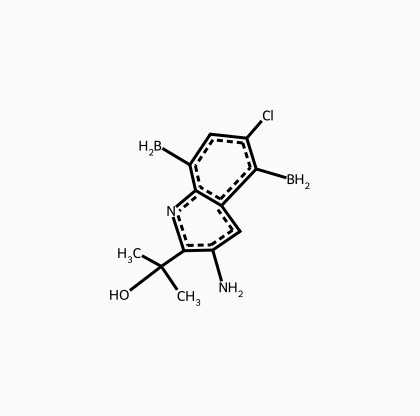 Bc1c(Cl)cc(B)c2nc(C(C)(C)O)c(N)cc12